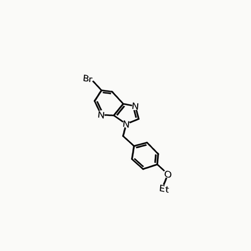 CCOc1ccc(Cn2cnc3cc(Br)cnc32)cc1